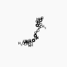 CN(CCOCCOc1ccc2c(c1)ncn2-c1ccc(NC(=O)Nc2cc(C(C)(C)C)n[nH]2)cc1)c1cccc2c1C(=O)N(C1CCC(=O)NC1=O)C2=O